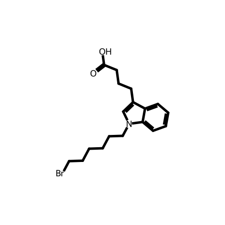 O=C(O)CCCc1cn(CCCCCCBr)c2ccccc12